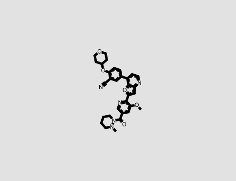 COc1cc(C(=O)N2CCCCN2C)cnc1-c1cc2nccc(-c3ccc(OC4CCOCC4)c(C#N)c3)c2o1